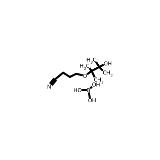 CC(C)(O)C(C)(C)OCCCC#N.OB(O)O